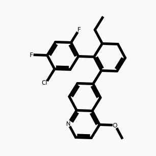 CCC1CC=CC(c2ccc3nccc(OC)c3c2)=C1c1cc(Cl)c(F)cc1F